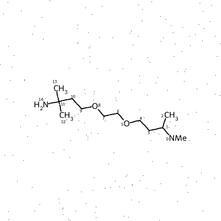 CNC(C)CCOCCOCCC(C)(C)N